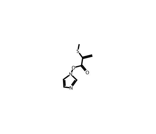 C=C(SC)C(=O)On1ccnc1